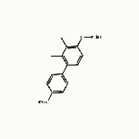 CCCCCCOc1ccc(-c2ccc(CCCCC)cc2)c(C)c1C